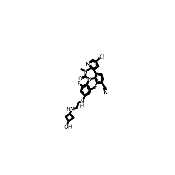 CN1C(=O)N(c2c(F)cc(NCCNC3CC(O)C3)cc2F)c2cc(C#N)ccc2-c2cc(Cl)cnc21